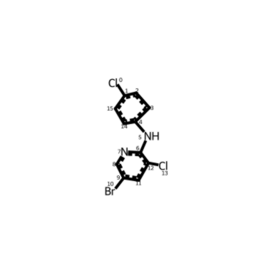 Clc1ccc(Nc2ncc(Br)cc2Cl)cc1